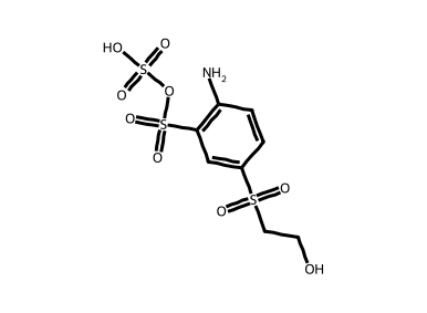 Nc1ccc(S(=O)(=O)CCO)cc1S(=O)(=O)OS(=O)(=O)O